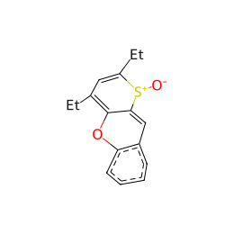 CCC1=CC(CC)=C2Oc3ccccc3C=C2[S+]1[O-]